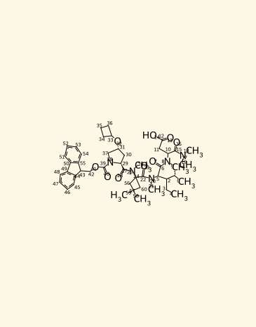 CCC(CC)C(C(=O)N(C)C(CC(=O)O)C(=O)N(C)C)N(C)C(=O)C1(N(C)C(=O)[C@@H]2C[C@@H](OC3CCC3)CN2C(=O)OCC2c3ccccc3-c3ccccc32)CC(C)(C)C1